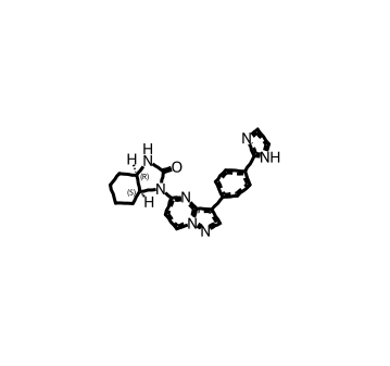 O=C1N[C@@H]2CCCC[C@@H]2N1c1ccn2ncc(-c3ccc(-c4ncc[nH]4)cc3)c2n1